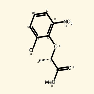 COC(=O)[C@H](C)Oc1c(Cl)cccc1[N+](=O)[O-]